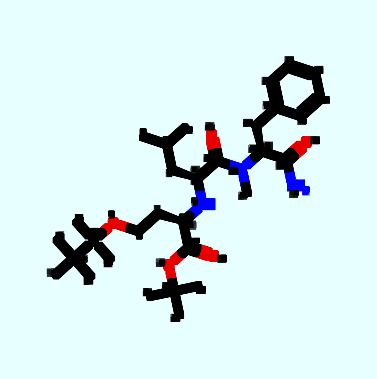 CC(C)C[C@H](N[C@H](CCO[Si](C)(C)C(C)(C)C)C(=O)OC(C)(C)C)C(=O)N(C)[C@@H](Cc1ccccc1)C(N)=O